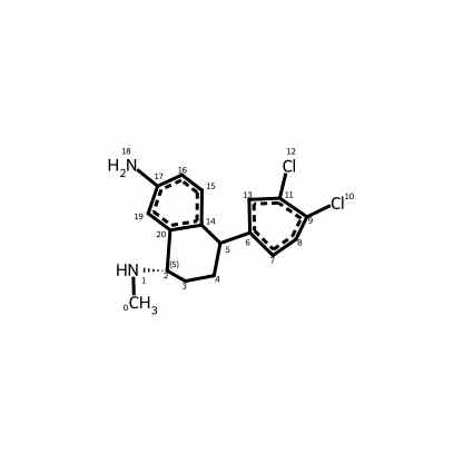 CN[C@H]1CCC(c2ccc(Cl)c(Cl)c2)c2ccc(N)cc21